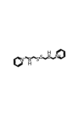 B(CSSCBC[n+]1ccccc1)C[n+]1ccccc1